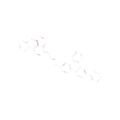 CC(/C=C/Nc1ccc(-c2ccc(-c3ccccc3)cc2)c(-c2ccccc2)c1)=C(/C=C\c1cccc2ccccc12)c1ccccc1